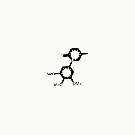 COc1cc(-n2cc(C)ccc2=O)cc(OC)c1OC